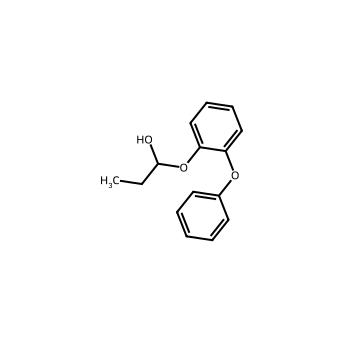 CCC(O)Oc1ccccc1Oc1ccccc1